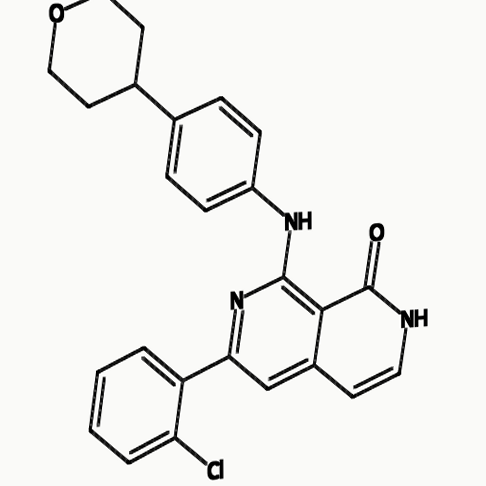 O=c1[nH]ccc2cc(-c3ccccc3Cl)nc(Nc3ccc(C4CCOCC4)cc3)c12